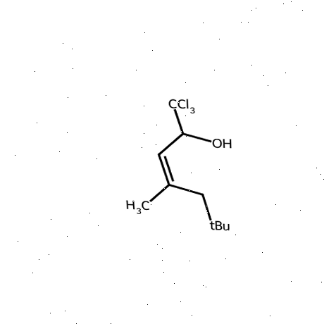 CC(=CC(O)C(Cl)(Cl)Cl)CC(C)(C)C